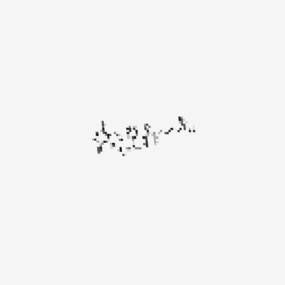 CCN(CC)CCCCNC(=O)Nc1snc(OCc2c(F)cc(C)c(F)c2F)c1C(N)=O